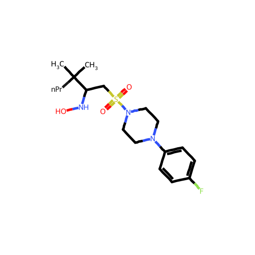 CCCC(C)(C)C(CS(=O)(=O)N1CCN(c2ccc(F)cc2)CC1)NO